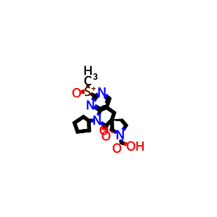 C[S+]([O-])c1ncc2c(n1)N(C1CCCC1)C(=O)[C@]1(CCN(C(=O)O)C1=O)C2